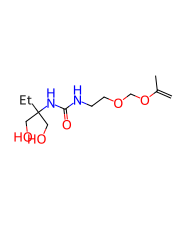 C=C(C)OCOCCNC(=O)NC(CC)(CO)CO